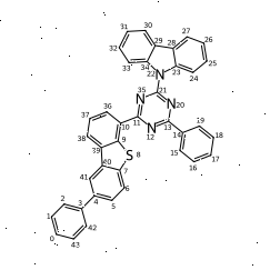 c1ccc(-c2ccc3sc4c(-c5nc(-c6ccccc6)nc(-n6c7ccccc7c7ccccc76)n5)cccc4c3c2)cc1